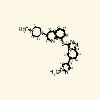 CN1CCN(c2cnc3c(Sc4nnc5ccc(-c6cnn(C)c6)cn45)cccc3c2)CC1